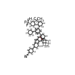 CC1(C)c2cc(C(F)(F)F)ccc2-c2c(-c3nc(-c4ccccc4)nc(-c4ccc(C56CC7CC8CC(c9cccc%10sc%11cc(-c%12ccc(C#N)cc%12)ccc%11c9%10)(C5)C786)cc4)n3)cccc21